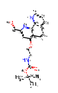 CC(C)(C)OC(=O)NCCOc1cc(C=O)nc2c1ccc1cccnc12